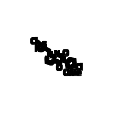 COc1cc(-n2c(=O)nc3n(Cc4cnc(Cl)s4)cccc-3c2=O)ccc1Cl